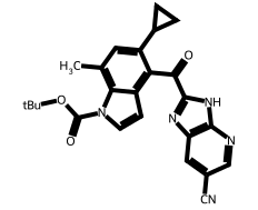 Cc1cc(C2CC2)c(C(=O)c2nc3cc(C#N)cnc3[nH]2)c2ccn(C(=O)OC(C)(C)C)c12